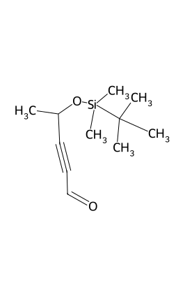 CC(C#CC=O)O[Si](C)(C)C(C)(C)C